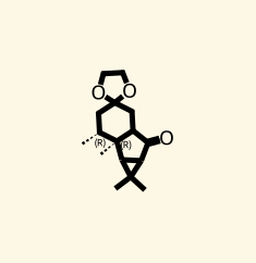 C[C@@H]1CC2(CC3C(=O)C4C(C4(C)C)[C@]31C)OCCO2